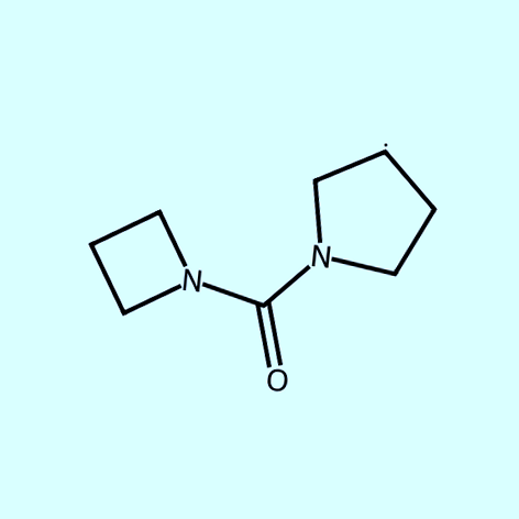 O=C(N1C[CH]CC1)N1CCC1